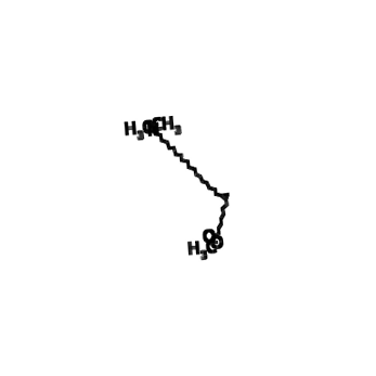 COC(=O)CCCCCCCC1CC1CCCCCCCCCCCCCCCCCCCN(C)C